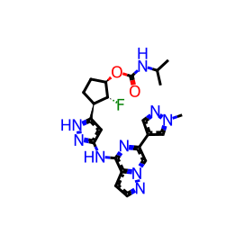 CC(C)NC(=O)O[C@@H]1CC[C@H](c2cc(Nc3nc(-c4cnn(C)c4)cn4nccc34)n[nH]2)[C@H]1F